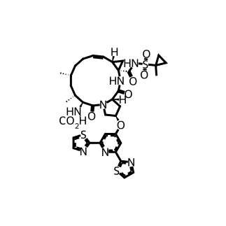 C[C@@H]1CC/C=C\[C@@H]2C[C@@]2(C(=O)NS(=O)(=O)C2(C)CC2)NC(=O)[C@@H]2C[C@@H](Oc3cc(-c4nccs4)nc(-c4nccs4)c3)CN2C(=O)[C@@H](NC(=O)O)[C@H](C)C1